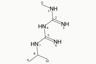 CNC(=N)NC(=N)NC(C)C